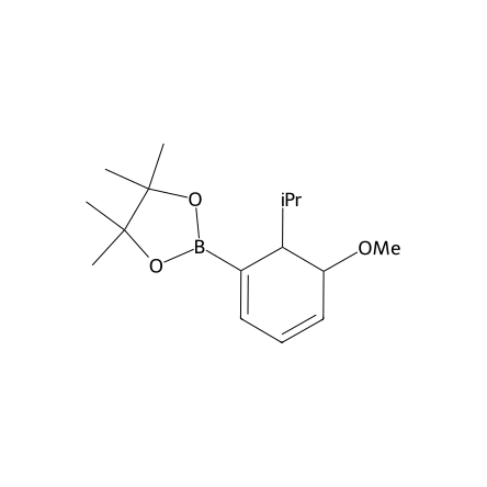 COC1C=CC=C(B2OC(C)(C)C(C)(C)O2)C1C(C)C